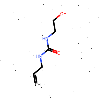 C=CCNC(=O)NCCO